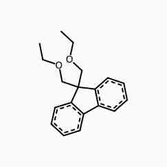 CCOCC1(COCC)c2ccccc2-c2ccccc21